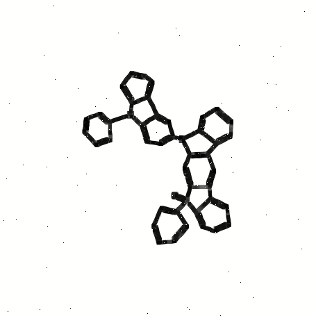 O=P1(c2ccccc2)c2ccccc2-c2cc3c4ccccc4n(-c4ccc5c(c4)c4ccccc4n5-c4ccccc4)c3cc21